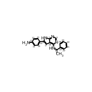 C[C@H](Nc1ncnc2[nH]c(-c3ccc(N)cc3)cc12)c1ccccc1